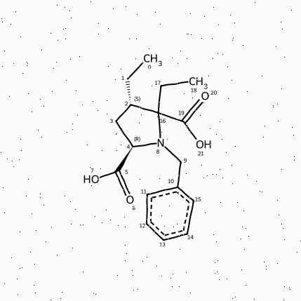 CC[C@H]1C[C@H](C(=O)O)N(Cc2ccccc2)C1(CC)C(=O)O